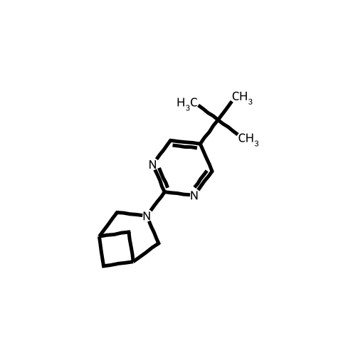 CC(C)(C)c1cnc(N2CC3CC(C3)C2)nc1